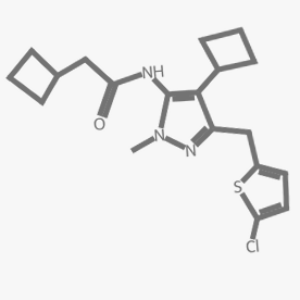 Cn1nc(Cc2ccc(Cl)s2)c(C2CCC2)c1NC(=O)CC1CCC1